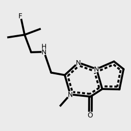 Cn1c(CNCC(C)(C)F)nn2cccc2c1=O